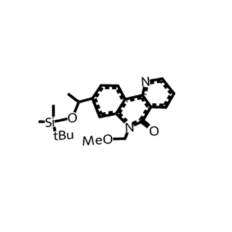 COCn1c(=O)c2cccnc2c2ccc(C(C)O[Si](C)(C)C(C)(C)C)cc21